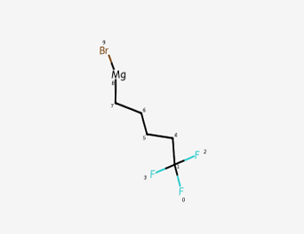 FC(F)(F)CCC[CH2][Mg][Br]